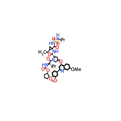 C=CC1CC1(NC(=O)[C@@H]1C[C@@H](Oc2cc(-c3ccc4c(c3)OCO4)nc3cc(OC)ccc23)CN1C(=O)[C@@H](NC(=O)OC1CCCC1)C(C)C)C(=O)NS(=O)(=O)NC(C)C